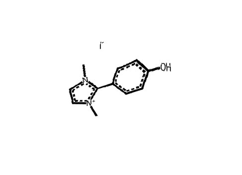 Cn1cc[n+](C)c1-c1ccc(O)cc1.[I-]